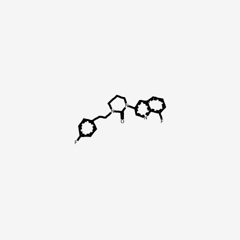 O=C1N(CCc2ccc(F)cc2)CCCN1c1cnc2c(F)cccc2c1